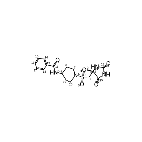 C[C@@]1(CS(=O)(=O)N2CCC(NC(=O)c3ccccc3)CC2)NC(=O)NC1=O